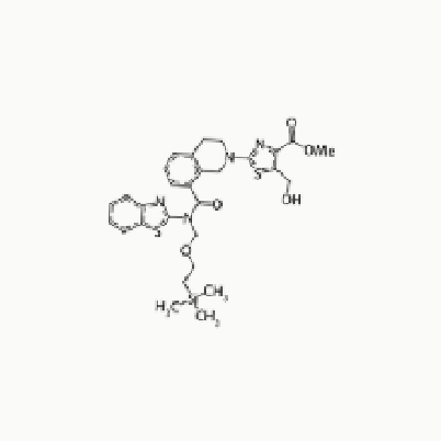 COC(=O)c1nc(N2CCc3cccc(C(=O)N(COCC[Si](C)(C)C)c4nc5ccccc5s4)c3C2)sc1CO